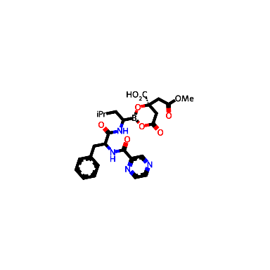 COC(=O)C[C@@]1(C(=O)O)CC(=O)OB(C(CC(C)C)NC(=O)C(Cc2ccccc2)NC(=O)c2cnccn2)O1